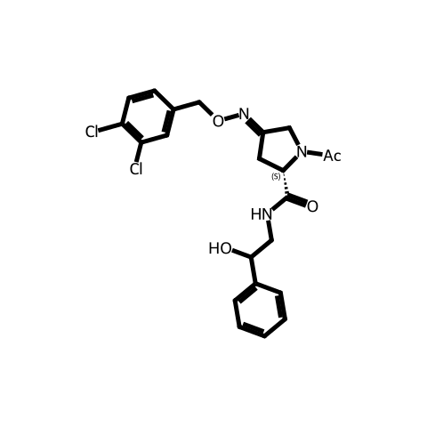 CC(=O)N1CC(=NOCc2ccc(Cl)c(Cl)c2)C[C@H]1C(=O)NCC(O)c1ccccc1